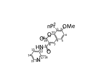 CCCc1c(OC)ccc2cc(C(=O)Nc3cccnc3C)c(=O)oc12